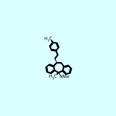 CN[C@]1(C)c2ccccc2C[C@H](CCc2ccc(C)cc2)c2ccccc21